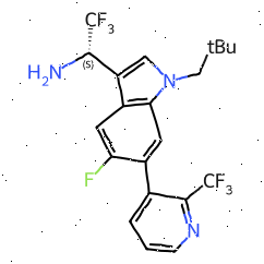 CC(C)(C)Cn1cc([C@H](N)C(F)(F)F)c2cc(F)c(-c3cccnc3C(F)(F)F)cc21